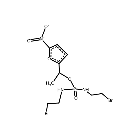 CC(OP(=O)(NCCBr)NCCBr)c1ccc([N+](=O)[O-])o1